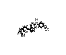 CCO[C@H]1CC[C@@H](Nc2ncc3c(-c4ccc5nc(C)n(CC)c5n4)ccn3n2)CC1